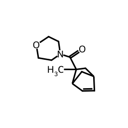 CC1(C(=O)N2CCOCC2)CC2C=CC1C2